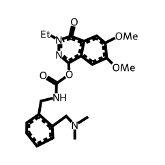 CCn1nc(OC(=O)NCc2ccccc2CN(C)C)c2cc(OC)c(OC)cc2c1=O